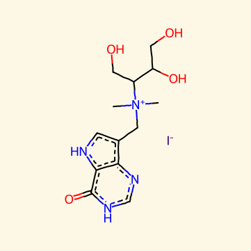 C[N+](C)(Cc1c[nH]c2c(=O)[nH]cnc12)C(CO)C(O)CO.[I-]